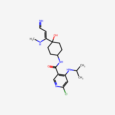 CN/C(=C\C=N)C1(O)CCC(NC(=O)c2cnc(Cl)cc2NC(C)C)CC1